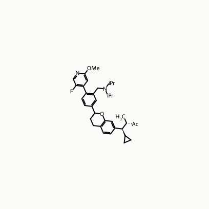 COc1cc(-c2ccc(C3CCc4ccc([C@H](C5CC5)[C@H](C)C(C)=O)cc4O3)cc2CN(C(C)C)C(C)C)c(F)cn1